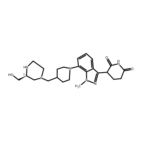 Cn1nc(C2CCC(=O)NC2=O)c2cccc(N3CCC(CN4CCN[C@H](CO)C4)CC3)c21